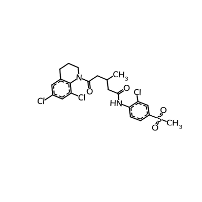 CC(CC(=O)Nc1ccc(S(C)(=O)=O)cc1Cl)CC(=O)N1CCCc2cc(Cl)cc(Cl)c21